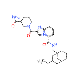 CCC1CC2CCCC(CNC(=O)c3cccc4nc(C(=O)N5CCCC(C(N)=O)C5)cn34)(C1)C2